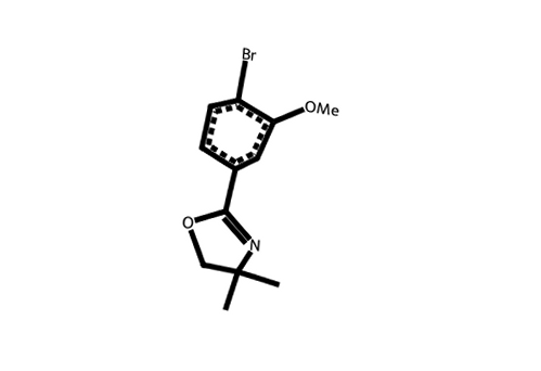 COc1cc(C2=NC(C)(C)CO2)ccc1Br